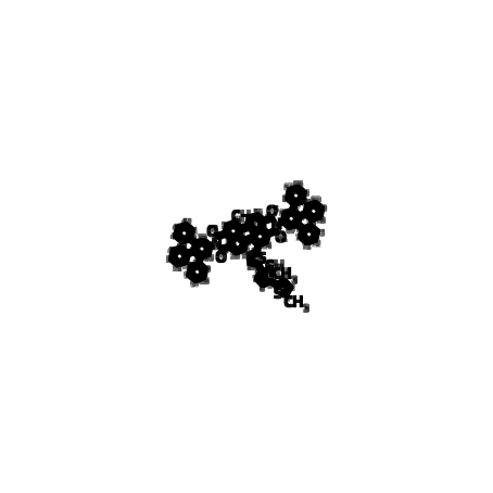 Cc1ccc(C2=CC=C(c3ccc(-c4cc5c6c(ccc7c8c(C)cc9c%10c(ccc(c4c67)c%108)C(=O)N(c4cc(-c6ccccc6)c(-c6ccccc6)c(-c6ccccc6)c4)C9=O)C(=O)N(c4cc(-c6ccccc6)c(-c6ccccc6)c(-c6ccccc6)c4)C5=O)s3)[Si]2(C)C)s1